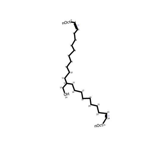 CCCCCCCC/C=C\CCCCCCCCCC(CO)CCCCCCCC/C=C\CCCCCCCC